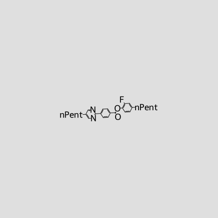 CCCCCc1cnc(-c2ccc(C(=O)Oc3ccc(CCCCC)cc3F)cc2)nc1